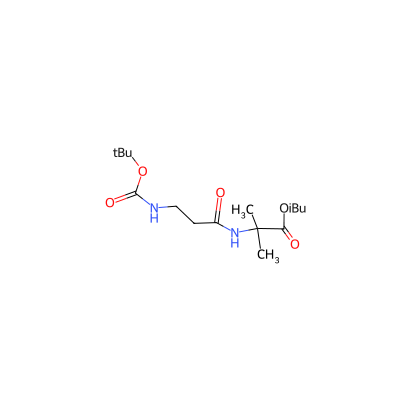 CC(C)COC(=O)C(C)(C)NC(=O)CCNC(=O)OC(C)(C)C